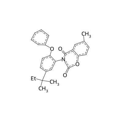 CCC(C)(C)c1ccc(Oc2ccccc2)c(-n2c(=O)oc3ccc(C)cc3c2=O)c1